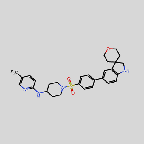 O=S(=O)(c1ccc(-c2ccc3c(c2)C2(CCOCC2)CN3)cc1)N1CCC(Nc2ccc(C(F)(F)F)cn2)CC1